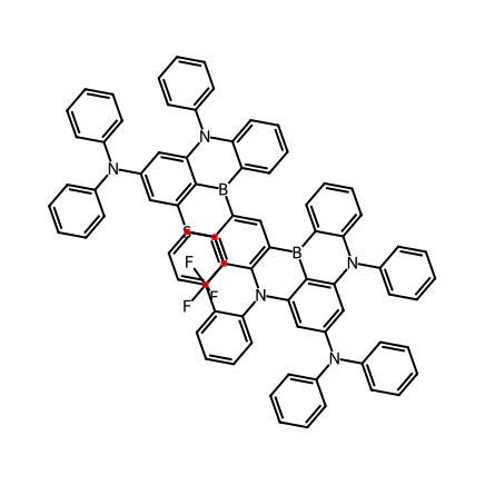 FC(F)(F)c1c2c(cc3c1N(c1ccccc1-c1ccccc1)c1cc(N(c4ccccc4)c4ccccc4)cc4c1B3c1ccccc1N4c1ccccc1)B1c3ccccc3N(c3ccccc3)c3cc(N(c4ccccc4)c4ccccc4)cc(c31)S2